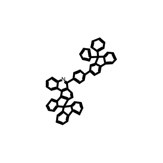 c1ccc(C2(c3ccccc3)c3ccccc3-c3ccc(-c4ccc(-c5nc6ccccc6c6c7c(ccc56)C5(c6ccccc6-c6ccccc65)c5ccccc5-7)cc4)cc32)cc1